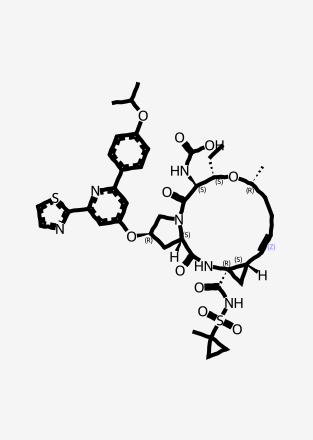 CC[C@@H]1O[C@H](C)CC/C=C\[C@@H]2C[C@@]2(C(=O)NS(=O)(=O)C2(C)CC2)NC(=O)[C@@H]2C[C@@H](Oc3cc(-c4ccc(OC(C)C)cc4)nc(-c4nccs4)c3)CN2C(=O)[C@H]1NC(=O)O